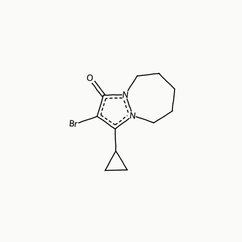 O=c1c(Br)c(C2CC2)n2n1CCCCC2